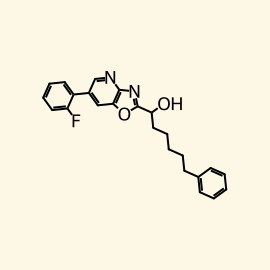 OC(CCCCCc1ccccc1)c1nc2ncc(-c3ccccc3F)cc2o1